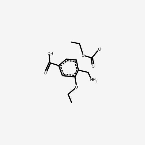 CCOC(=O)Cl.CCOc1cc(C(=O)O)ccc1CN